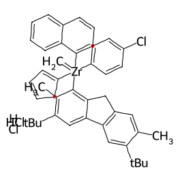 Cl.Cl.[CH2]=[Zr]([C]1=CC=CC1)([c]1ccc(Cl)cc1)([c]1c(C)c(C(C)(C)C)cc2c1Cc1cc(C)c(C(C)(C)C)cc1-2)[c]1cccc2ccccc12